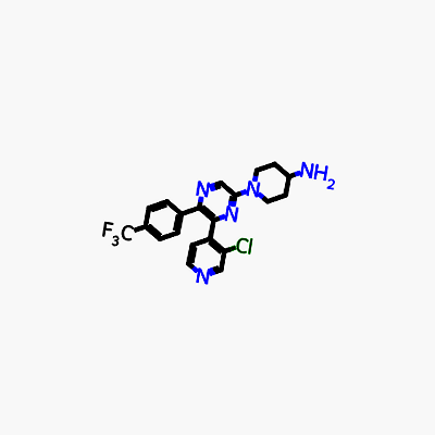 NC1CCN(c2cnc(-c3ccc(C(F)(F)F)cc3)c(-c3ccncc3Cl)n2)CC1